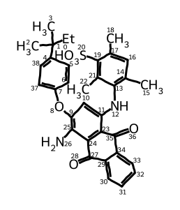 CCC(C)(C)c1ccc(Oc2cc(Nc3c(C)cc(C)c(S(=O)(=O)O)c3C)c3c(c2N)C(=O)c2ccccc2C3=O)cc1